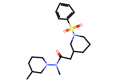 CC1CCCN(N(C)C(=O)CC2CCCN(S(=O)(=O)c3ccccc3)C2)C1